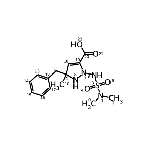 CN(C)S(=O)(=O)NN1NC(C)(Cc2ccccc2)C=C1C(=O)O